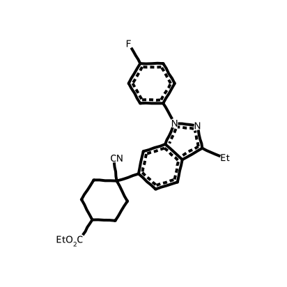 CCOC(=O)C1CCC(C#N)(c2ccc3c(CC)nn(-c4ccc(F)cc4)c3c2)CC1